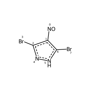 O=Nc1c(Br)n[nH]c1Br